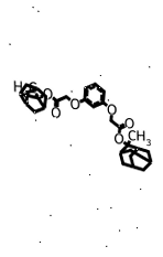 CC1(OC(=O)COc2cccc(OCC(=O)OC3(C)C4CC5CC(C4)C3C5)c2)C2CC3CC(C2)CC1C3